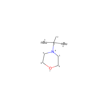 CCCCC(C)(CCCC)N1CCOCC1